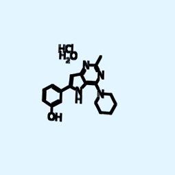 Cc1nc(N2CCCCC2)c2[nH]c(-c3cccc(O)c3)cc2n1.Cl.O